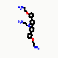 NCCCOc1cccc(-c2ccc3c4ccc(-c5cccc(OCCCN)c5)cc4n(CCCN)c3c2)c1